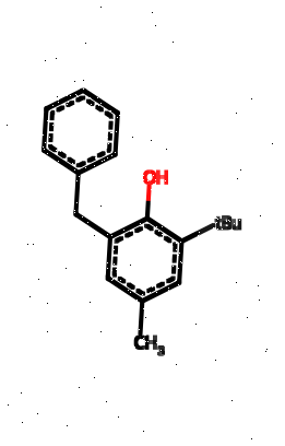 Cc1cc(Cc2ccccc2)c(O)c(C(C)(C)C)c1